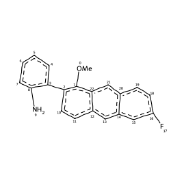 COc1c(-c2ccccc2N)ccc2cc3cc(F)ccc3cc12